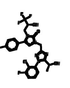 C[C@H](O)c1nc(Cn2cc(-c3ccc(Cl)cc3)n(C[C@H](O)C(F)(F)F)c2=O)nn1-c1cccc(F)c1Cl